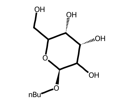 CCCCO[C@H]1OC(CO)[C@H](O)[C@H](O)C1O